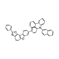 c1ccc(-c2nc3ccc4oc5cc(-c6ccc(N(c7ccc8ccccc8c7)c7ccccc7-c7ccccc7)cc6)ccc5c4c3o2)cc1